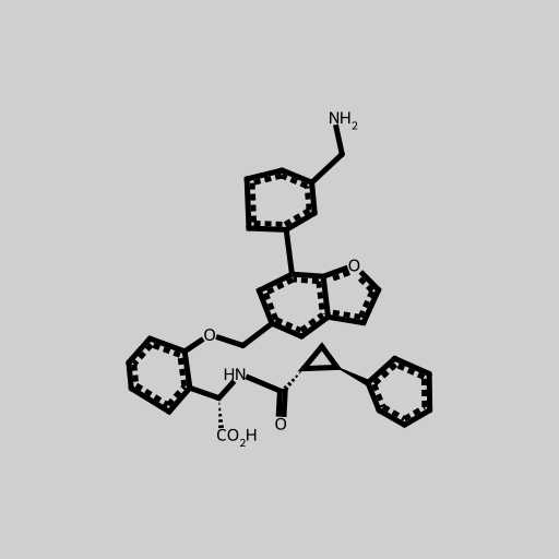 NCc1cccc(-c2cc(COc3ccccc3[C@H](NC(=O)[C@@H]3C[C@H]3c3ccccc3)C(=O)O)cc3ccoc23)c1